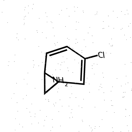 NC12C=CC(Cl)=CC1C2